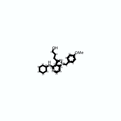 COc1ccc(Cn2nc(CCCO)c3c(NC4CCCCC4)nccc32)cc1